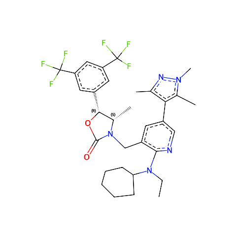 CCN(c1ncc(-c2c(C)nn(C)c2C)cc1CN1C(=O)O[C@H](c2cc(C(F)(F)F)cc(C(F)(F)F)c2)[C@@H]1C)C1CCCCC1